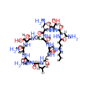 CCCCCCCC(=O)N[C@@H](CCN)C(=O)N[C@H](C(=O)N[C@@H](CCN)C(=O)N[C@H]1CCNC(=O)[C@H]([C@@H](C)O)NC(=O)[C@H](CN)NC(=O)[C@H](CN)NC(=O)[C@H](CC(C)C)NC(=O)CNC(=O)[C@H](CN)NC1=O)[C@@H](C)O